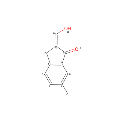 Cc1ccc2c(c1)C(=O)C(=CO)C2